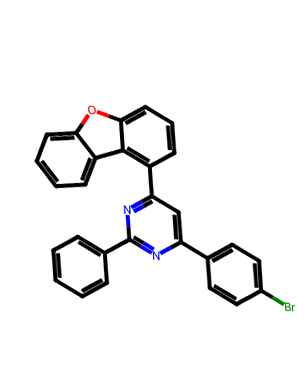 Brc1ccc(-c2cc(-c3cccc4oc5ccccc5c34)nc(-c3ccccc3)n2)cc1